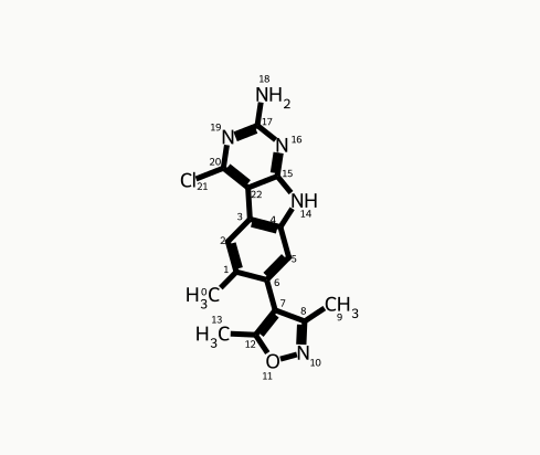 Cc1cc2c(cc1-c1c(C)noc1C)[nH]c1nc(N)nc(Cl)c12